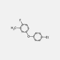 CCc1ccc(Oc2ccc(F)c(C)c2)cc1